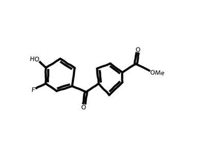 COC(=O)c1ccc(C(=O)c2ccc(O)c(F)c2)cc1